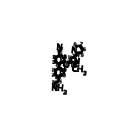 Cn1nc(-c2ccccn2)cc1Oc1nc(C#N)ccc1-c1ccc(CCN)cn1